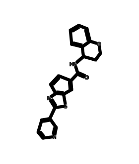 O=C(NC1CCOc2ccccc21)c1ccc2nc(-c3cccnc3)sc2c1